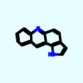 c1ccc2nc3ccc4cc[nH]c4c3cc2c1